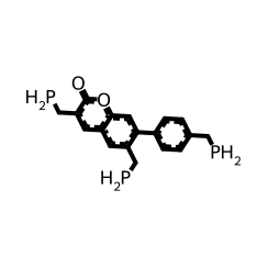 O=c1oc2cc(-c3ccc(CP)cc3)c(CP)cc2cc1CP